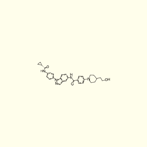 O=C(Nc1ccc2c(cnn2-c2ccc(NC(=O)C3CC3)cc2)c1)c1ccc(N2CCC(CCO)CC2)cc1